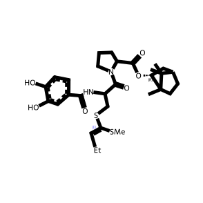 CC/C=C(\SC)SCC(NC(=O)c1ccc(O)c(O)c1)C(=O)N1CCCC1C(=O)O[C@@H]1CC2CCC1(C)C2(C)C